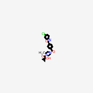 CC1CN(C(=O)c2ccc(-c3nc4ccc(Cl)cc4o3)cc2)CCN1C(=O)C1(O)CC1